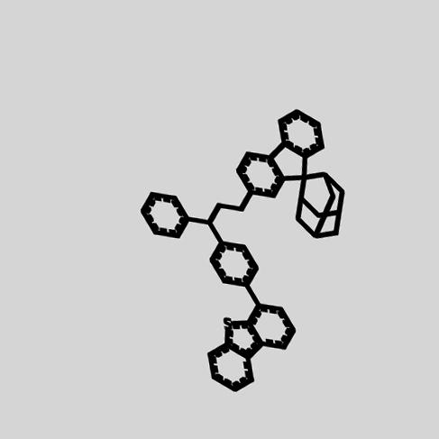 c1ccc(C(CCc2ccc3c(c2)C2(c4ccccc4-3)C3CC4CC(C3)CC2C4)c2ccc(-c3cccc4c3sc3ccccc34)cc2)cc1